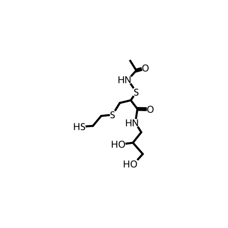 CC(=O)NSC(CSCCS)C(=O)NCC(O)CO